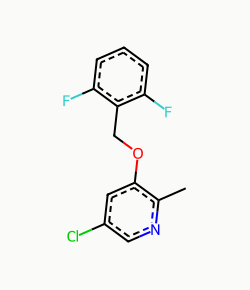 Cc1ncc(Cl)cc1OCc1c(F)cccc1F